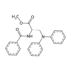 COC(=O)[C@H](CN(c1ccccc1)c1ccccc1)NC(=O)c1ccccc1